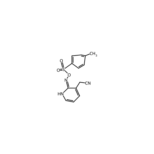 Cc1ccc(S(=O)(=O)ON=c2[nH]cccc2CC#N)cc1